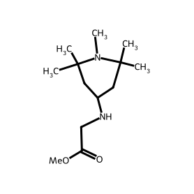 COC(=O)CNC1CC(C)(C)N(C)C(C)(C)C1